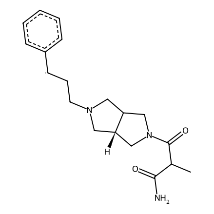 CC(C(N)=O)C(=O)N1CC2CN(CC[CH]c3ccccc3)C[C@H]2C1